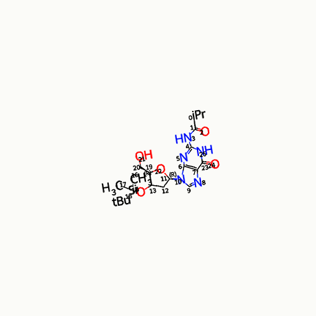 CC(C)C(=O)Nc1nc2c(ncn2[C@H]2CC(O[Si](C)(C)C(C)(C)C)[C@@H](CO)O2)c(=O)[nH]1